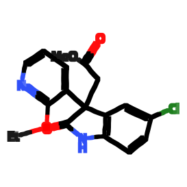 CCOc1ncccc1C1(CC(=O)OC)C(=O)Nc2ccc(Cl)cc21